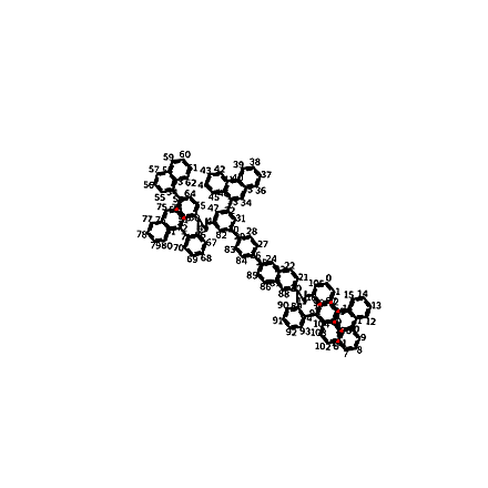 c1cc(-c2cc3ccccc3c3ccccc23)cc(N(c2ccc3cc(-c4ccc(-c5cc(-c6cc7ccccc7c7ccccc67)cc(N(c6ccc(-c7cccc8ccccc78)cc6)c6ccccc6-c6cccc7ccccc67)c5)cc4)ccc3c2)c2ccccc2-c2cccc3ccccc23)c1